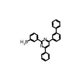 Bc1cccc(-c2nc(-c3ccccc3)cc(-c3cccc(-c4ccccc4)c3)n2)c1